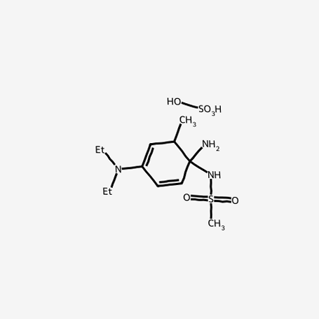 CCN(CC)C1=CC(C)C(N)(NS(C)(=O)=O)C=C1.O=S(=O)(O)O